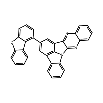 c1ccc2nc3c(nc2c1)c1cc(-c2cccc4oc5ccccc5c24)cc2c4ccccc4n3c21